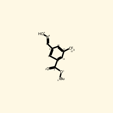 CC(C)(C)OC(=O)c1cc(C=NO)cc(C(F)(F)F)c1